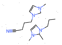 CCCN1C=CN(C)C1C.CN1C=CN(CCCC#N)C1